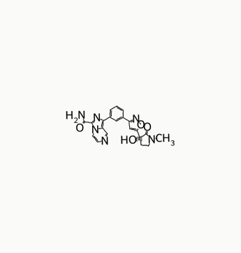 CN1CC[C@@](O)(c2cc(-c3cccc(-c4nc(C(N)=O)n5ccncc45)c3)no2)C1=O